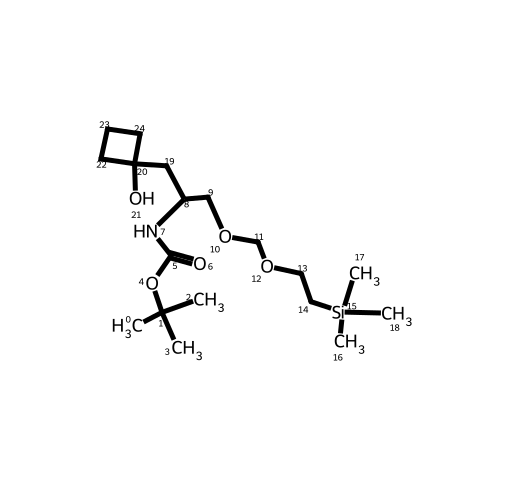 CC(C)(C)OC(=O)NC(COCOCC[Si](C)(C)C)CC1(O)CCC1